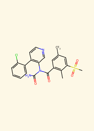 Cc1c(C(=O)N(C(N)=O)c2cnccc2-c2ccccc2Cl)cc(C(F)(F)F)cc1S(C)(=O)=O